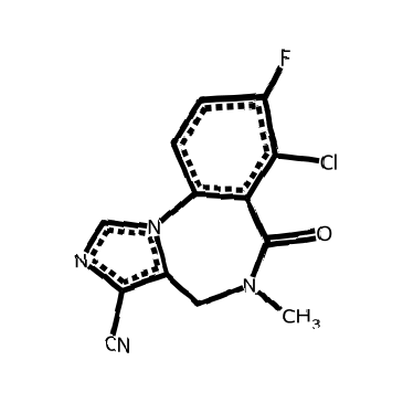 CN1Cc2c(C#N)ncn2-c2ccc(F)c(Cl)c2C1=O